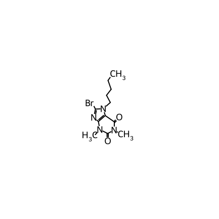 CCCCCn1c(Br)nc2c1c(=O)n(C)c(=O)n2C